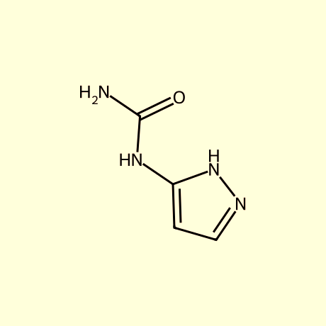 NC(=O)Nc1ccn[nH]1